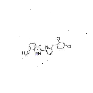 C=C(/N=C\c1ccccc1N)c1cccc(Cc2ccc(Cl)cc2Cl)n1